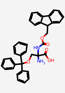 NC(COC(c1ccccc1)(c1ccccc1)c1ccccc1)(NC(=O)OCC1c2ccccc2-c2ccccc21)C(=O)O